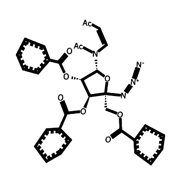 CC(=O)/C=C\N(C(C)=O)[C@@H]1O[C@@](COC(=O)c2ccccc2)(N=[N+]=[N-])[C@@H](OC(=O)c2ccccc2)[C@@H]1OC(=O)c1ccccc1